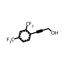 OCC#Cc1ccc(C(F)(F)F)cc1C(F)(F)F